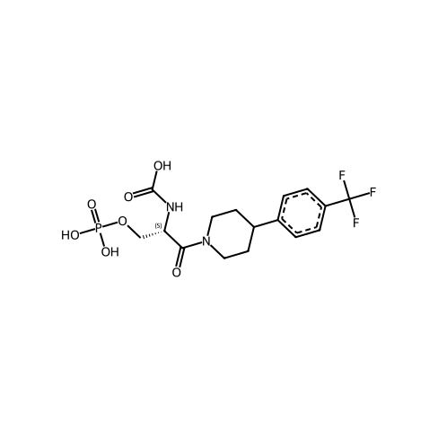 O=C(O)N[C@@H](COP(=O)(O)O)C(=O)N1CCC(c2ccc(C(F)(F)F)cc2)CC1